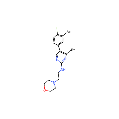 CC(=O)c1cc(-c2cnc(NCCN3CCOCC3)nc2C(C)C)ccc1F